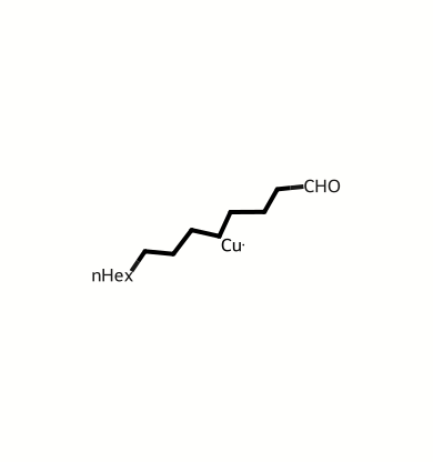 CCCCCCCCCCCCCC=O.[Cu]